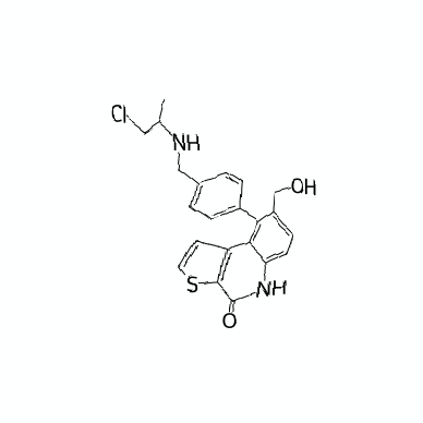 CC(CCl)NCc1ccc(-c2c(CO)ccc3[nH]c(=O)c4sccc4c23)cc1